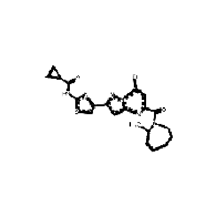 CCc1cc(C(=O)N2CCCCCC2C)nc2cc(-c3csc(NC(=O)C4CC4)n3)nn12